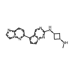 CN[C@H]1C[C@@H](Nc2ncc3c(-c4ccc5nccn5n4)ccn3n2)C1